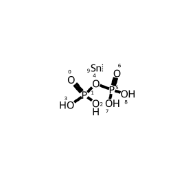 O=P(O)(O)OP(=O)(O)O.[Sn]